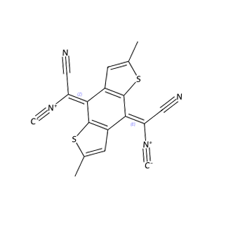 [C-]#[N+]/C(C#N)=c1/c2cc(C)sc2/c(=C(\C#N)[N+]#[C-])c2cc(C)sc12